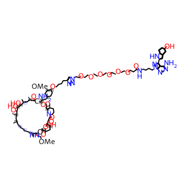 COC(=O)N[C@H]1C[C@@H]2CC[C@@H](C)[C@@](O)(O2)C(=O)C(=O)N2CCCC[C@H]2C(=O)O[C@H]([C@H](N)C[C@@H]2CC[C@@H](OCCCCc3cn(CCOCCOCCOCCOCCOCCOCCC(=O)NCCCCn4nc(-c5cc6cc(O)ccc6[nH]5)c5c(N)ncnc54)nn3)[C@H](OC)C2)CC(=O)[C@H](C)/C=C(\C)[C@@H](O)[C@@H](O)C(=O)[C@H](C)C[C@H](C)/C=C/C=C/C=C/1C